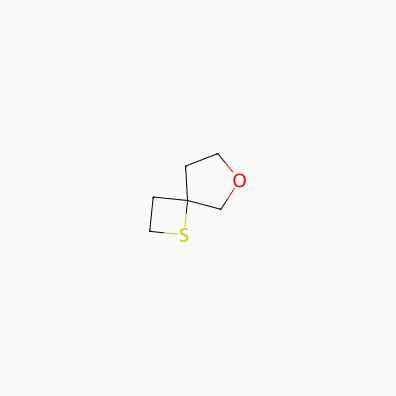 C1CC2(CCS2)CO1